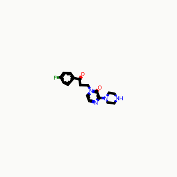 O=C(CCn1ccnc(N2CCNCC2)c1=O)c1ccc(F)cc1